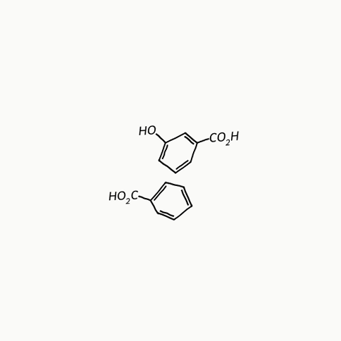 O=C(O)c1cccc(O)c1.O=C(O)c1ccccc1